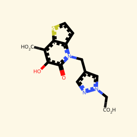 O=C(O)Cn1cc(Cn2c(=O)c(O)c(C(=O)O)c3sccc32)cn1